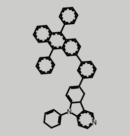 C1=CC(N2C3=CC=C(c4cccc(-c5ccc6c(-c7ccccc7)c7ccccc7c(-c7ccccc7)c6c5)c4)CC3c3cnccc32)=CCC1